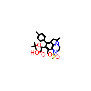 Cc1ccc(-c2c3c4c(c(C)c2[C@H](OC(C)(C)C)C(=O)O)N(S(C)(=O)=O)CCN4C(C)C3)cc1